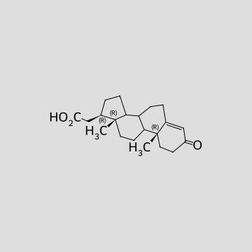 C[C@]12CCC(=O)C=C1CCC1C2CC[C@@]2(C)C1CC[C@@H]2CC(=O)O